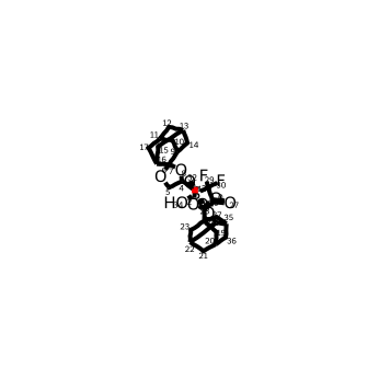 O=C(OCC1COC2(O1)C1CC3CC(C1)CC2C3)C12CC3CC(C1)C(OC(=O)C(F)(F)S(=O)(=O)O)C(C3)C2